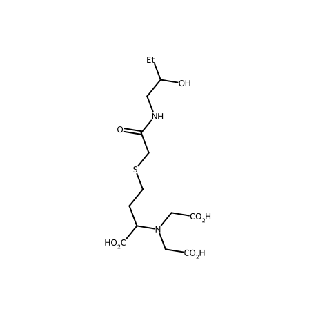 CCC(O)CNC(=O)CSCCC(C(=O)O)N(CC(=O)O)CC(=O)O